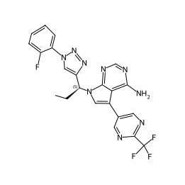 CC[C@@H](c1cn(-c2ccccc2F)nn1)n1cc(-c2cnc(C(F)(F)F)nc2)c2c(N)ncnc21